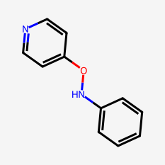 c1ccc(NOc2ccncc2)cc1